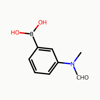 CN(C=O)c1cccc(B(O)O)c1